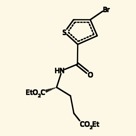 CCOC(=O)CC[C@@H](NC(=O)c1cc(Br)cs1)C(=O)OCC